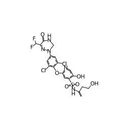 C=C(CCO)NS(=O)(=O)c1cc(Oc2c(Cl)cc(N3CNC(=O)C(C(F)F)=N3)cc2Cl)ncc1O